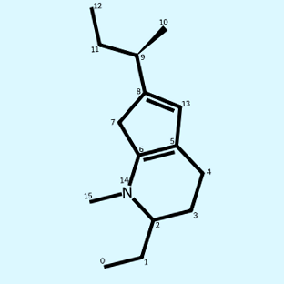 CCC1CCC2=C(CC([C@H](C)CC)=C2)N1C